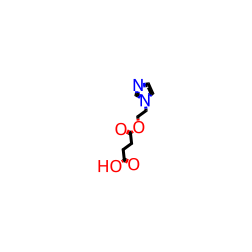 O=C(O)CCC(=O)OCCn1ccnc1